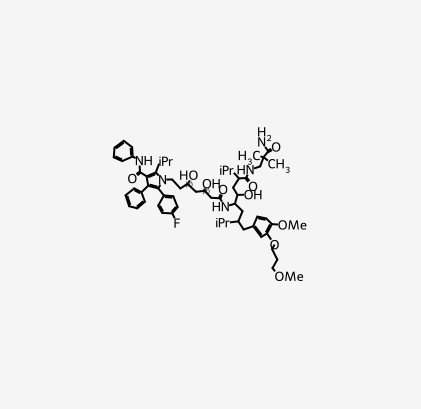 COCCCOc1cc(CC(CC(NC(=O)C[C@H](O)C[C@H](O)CCn2c(-c3ccc(F)cc3)c(-c3ccccc3)c(C(=O)Nc3ccccc3)c2C(C)C)C(O)CC(C(=O)NCC(C)(C)C(N)=O)C(C)C)C(C)C)ccc1OC